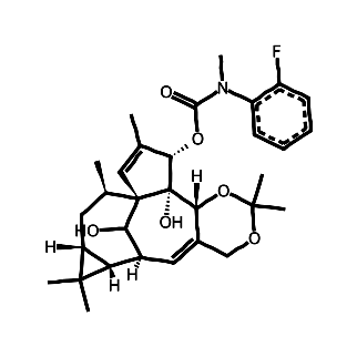 CC1=C[C@]23C(O)[C@@H](C=C4COC(C)(C)O[C@H]4[C@]2(O)[C@H]1OC(=O)N(C)c1ccccc1F)[C@H]1[C@@H](C[C@H]3C)C1(C)C